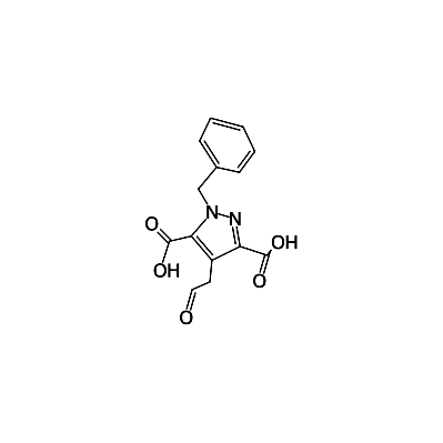 O=CCc1c(C(=O)O)nn(Cc2ccccc2)c1C(=O)O